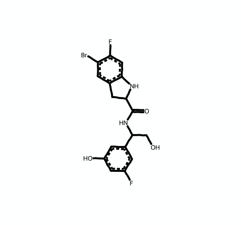 O=C(NC(CO)c1cc(O)cc(F)c1)C1Cc2cc(Br)c(F)cc2N1